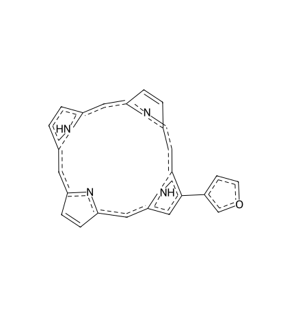 C1=Cc2cc3cc(-c4ccoc4)c(cc4nc(cc5ccc(cc1n2)[nH]5)C=C4)[nH]3